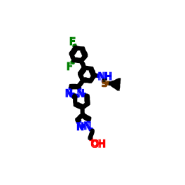 OCCn1cc(-c2ccn3c(-c4cc(NSC5CC5)cc(-c5ccc(F)cc5F)c4)cnc3c2)cn1